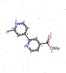 COC(=O)c1ccnc(-c2ccnc(C)c2)c1